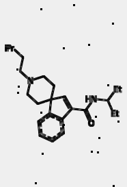 CCC(CC)NC(=O)C1=CC2(CCN(CCC(C)C)CC2)c2ccccc21